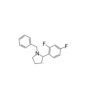 Fc1ccc(C2[CH]CCN2Cc2ccccc2)c(F)c1